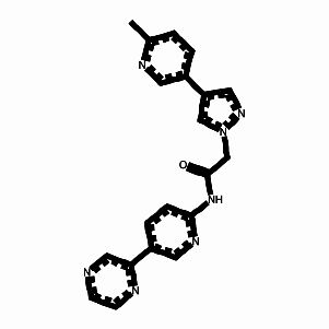 Cc1ccc(-c2cnn(CC(=O)Nc3ccc(-c4cnccn4)cn3)c2)cn1